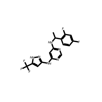 CC(Nc1cc(Nc2cc(C(F)(F)F)[nH]n2)ncn1)c1ccc(F)cc1F